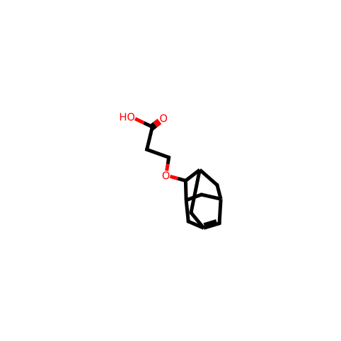 O=C(O)CCOC1C2CC3=CC(C2)CC1C3